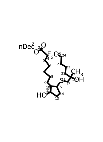 CCCCCCCCCCOC(=O)CCCCCCC1C(O)CCC1SCC(C)(O)CCCCC(F)(F)F